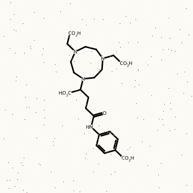 O=C(O)CN1CCN(CC(=O)O)CCN(C(CCC(=O)Nc2ccc(C(=O)O)cc2)C(=O)O)CC1